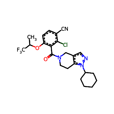 CC(Oc1ccc(C#N)c(Cl)c1C(=O)N1CCc2c(cnn2C2CCCCC2)C1)C(F)(F)F